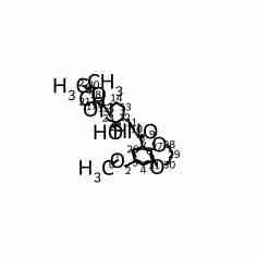 COCc1cc2c(c(C(=O)NC[C@@H]3CCN(C(=O)OC(C)(C)C)C[C@H]3O)c1)OCCCO2